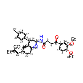 CCOc1ccc(C(=O)CCC(=O)Nc2cc(-c3ccc(C)cc3)c3cc(C=C(CC)C(=O)O)ccc3n2)cc1OCC